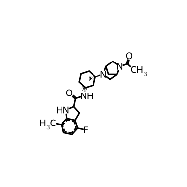 CC(=O)N1CC2CC1CN2[C@@H]1CCC[C@@H](NC(=O)C2Cc3c(F)ccc(C)c3N2)C1